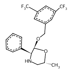 C[C@@H]1CN[C@@H](c2ccccc2)[C@@H](OCc2cc(C(F)(F)F)cc(C(F)(F)F)c2)O1